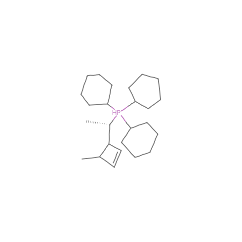 CC1C=CC1[C@H](C)[PH](C1CCCCC1)(C1CCCCC1)C1CCCCC1